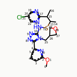 COc1cccc(-c2nnc(NSC(C)C(C)c3ncc(Cl)cn3)n2CC2COC2)n1